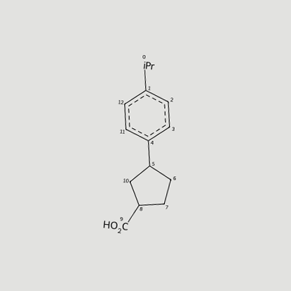 CC(C)c1ccc(C2CCC(C(=O)O)C2)cc1